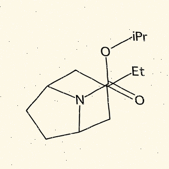 CCC1CC2CCC(C1)N2C(=O)OC(C)C